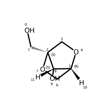 OC[C@@]12CO[C@H](CO1)[C@@H]2O